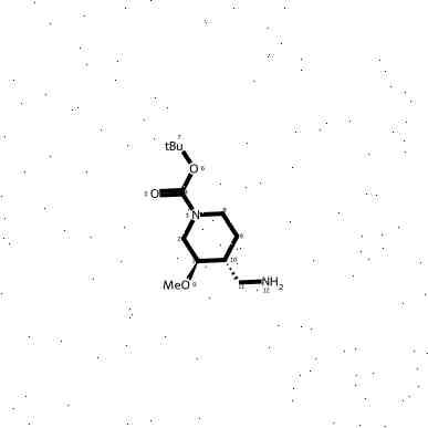 CO[C@H]1CN(C(=O)OC(C)(C)C)CC[C@@H]1CN